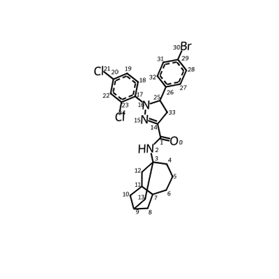 O=C(NC12CCCC3CC(CC3C1)C2)C1=NN(c2ccc(Cl)cc2Cl)C(c2ccc(Br)cc2)C1